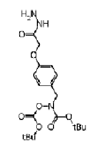 CC(C)(C)OC(=O)ON(Cc1ccc(OCC(=O)NN)cc1)C(=O)OC(C)(C)C